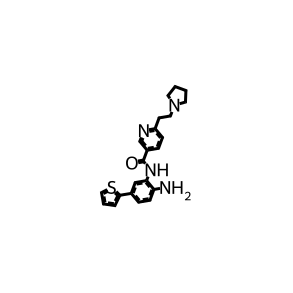 Nc1ccc(-c2cccs2)cc1NC(=O)c1ccc(CCN2CCCC2)nc1